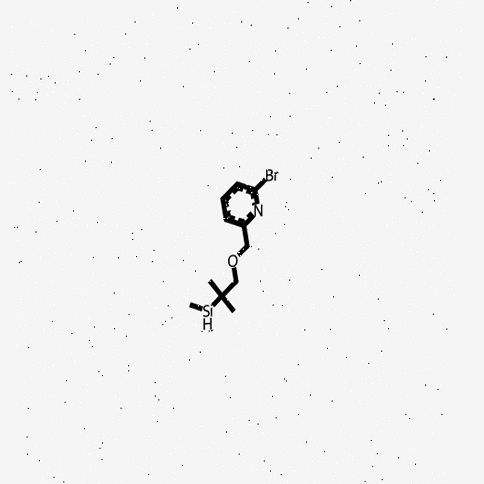 C[SiH](C)C(C)(C)COCc1cccc(Br)n1